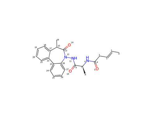 CC=CCC(=O)N[C@@H](C)C(=O)NN1C(=O)C(C)c2ccccc2-c2ccccc21